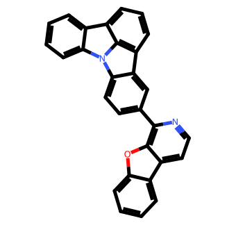 c1ccc2c(c1)oc1c(-c3ccc4c(c3)c3cccc5c6ccccc6n4c53)nccc12